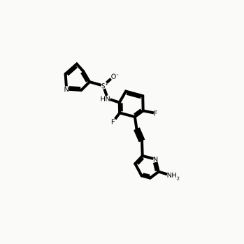 Nc1cccc(C#Cc2c(F)ccc(N[S+]([O-])c3cccnc3)c2F)n1